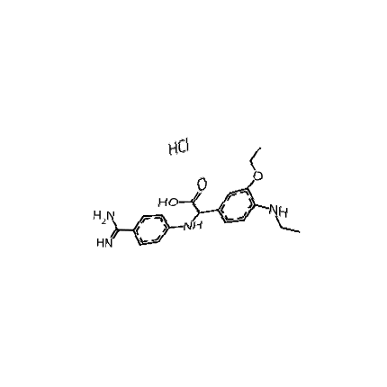 CCNc1ccc(C(Nc2ccc(C(=N)N)cc2)C(=O)O)cc1OCC.Cl